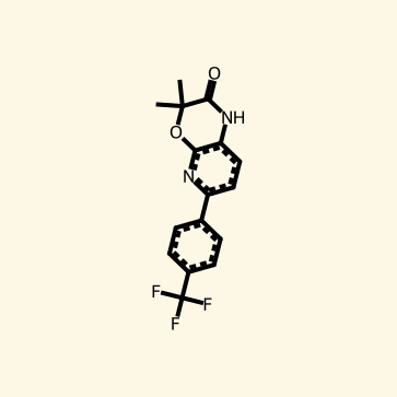 CC1(C)Oc2nc(-c3ccc(C(F)(F)F)cc3)ccc2NC1=O